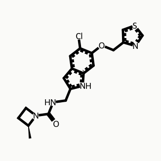 C[C@H]1CCN1C(=O)NCc1cc2cc(Cl)c(OCc3cscn3)cc2[nH]1